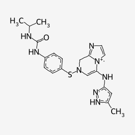 Cc1cc(NC2=CN(Sc3ccc(NC(=O)NC(C)C)cc3)CC3=NC=C[N+]23)n[nH]1